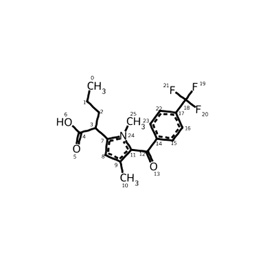 CCCC(C(=O)O)c1cc(C)c(C(=O)c2ccc(C(F)(F)F)cc2)n1C